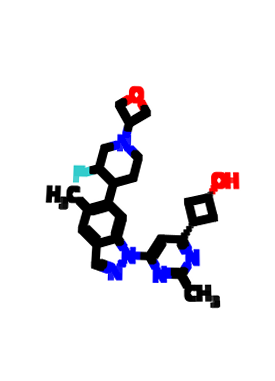 Cc1nc(-n2ncc3cc(C)c(C4CCN(C5COC5)CC4F)cc32)cc([C@H]2C[C@@H](O)C2)n1